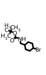 CC(C)(C)OC(=O)NCC1CCC(Br)CC1